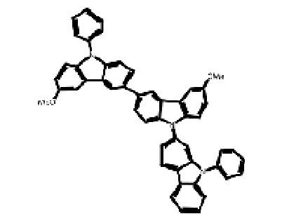 COc1ccc2c(c1)c1cc(-c3ccc4c(c3)c3cc(OC)ccc3n4-c3ccc4c5ccccc5n(-c5ccccc5)c4c3)ccc1n2-c1ccccc1